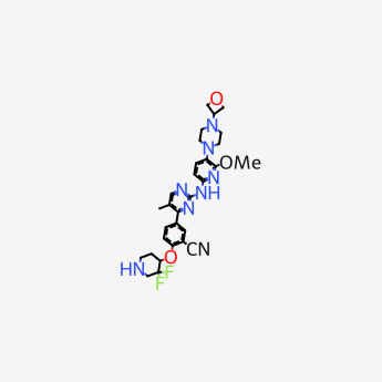 COc1nc(Nc2ncc(C)c(-c3ccc(OC4CCNCC4(F)F)c(C#N)c3)n2)ccc1N1CCN(C2COC2)CC1